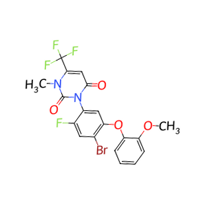 COc1ccccc1Oc1cc(-n2c(=O)cc(C(F)(F)F)n(C)c2=O)c(F)cc1Br